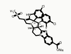 COC(=O)c1ccc2c(c1)nc1n2CC[C@H]2[C@@H]1[C@H](c1cccc(Cl)c1F)[C@]1(C(=O)Nc3cc(Cl)ccc31)N2CCCS(C)(=O)=O